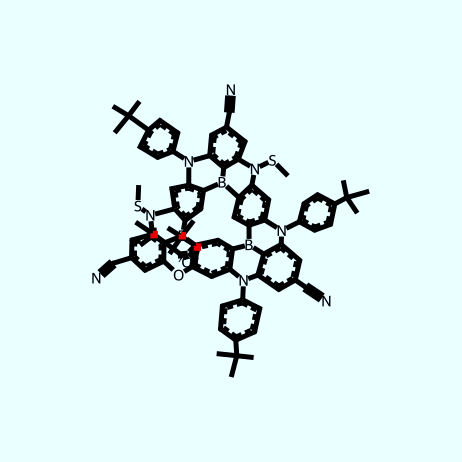 CSN1c2cc3c(cc2B2c4cc(C(C)(C)C)ccc4Oc4cc(C#N)cc1c42)B1c2cc4c(cc2N(SC)c2cc(C#N)cc(c21)N3c1ccc(C(C)(C)C)cc1)N(c1ccc(C(C)(C)C)cc1)c1cc(C#N)cc2c1B4c1cc(C(C)(C)C)ccc1N2c1ccc(C(C)(C)C)cc1